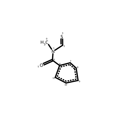 CN(C=S)C(=O)c1ccccc1